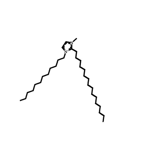 CCCCCCCCCCCCCCCCc1n(C)cc[n+]1CCCCCCCCCCCC